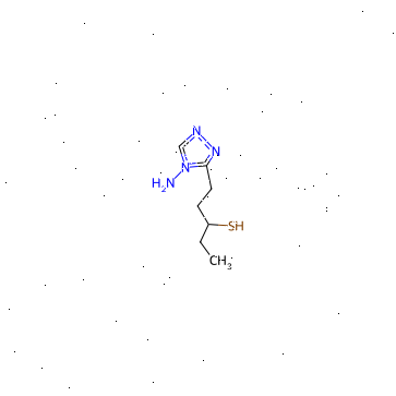 CCC(S)CCc1nncn1N